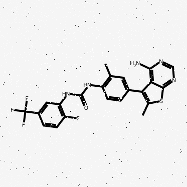 Cc1cc(-c2c(C)sc3ncnc(N)c23)ccc1NC(=O)Nc1cc(C(F)(F)F)ccc1F